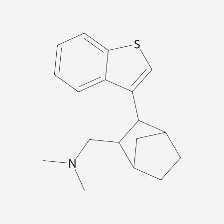 CN(C)CC1C2CCC(C2)C1c1csc2ccccc12